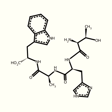 C[C@H](NC(=O)[C@H](Cc1c[nH]cn1)NC(=O)[C@@H](N)[C@@H](C)O)C(=O)N[C@@H](Cc1c[nH]c2ccccc12)C(=O)O